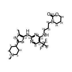 Cc1nc(C2CCN(C)CC2)sc1Nc1ncc(C(F)(F)F)c(NCCCN2CCCOC2=O)n1